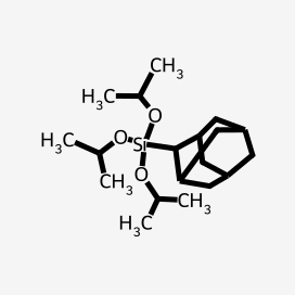 CC(C)O[Si](OC(C)C)(OC(C)C)C1C2CC3CC(C2)CC1C3